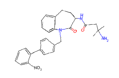 CC(C)(N)CC(=O)NC1CCc2ccccc2N(Cc2ccc(-c3ccccc3[N+](=O)[O-])cc2)C1=O